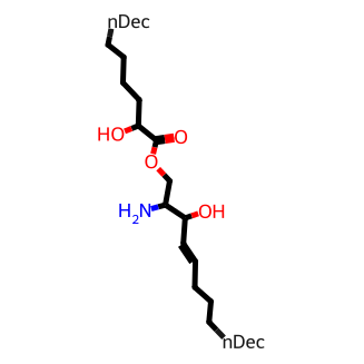 CCCCCCCCCCCCCC=CC(O)C(N)COC(=O)C(O)CCCCCCCCCCCCCC